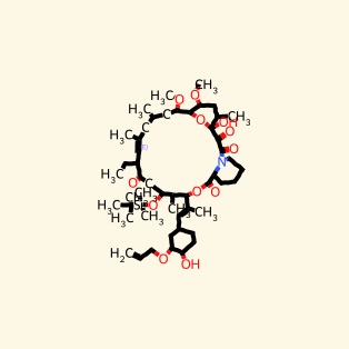 C=CCOC1CC(C=C(C)C2OC(=O)C3CCCCN3C(=O)C(=O)C3(O)OC(C(OC)CC(C)C/C(C)=C/C(CC)C(=O)CC(O[Si](C)(C)C(C)(C)C)C2C)C(OC)CC3C)CCC1O